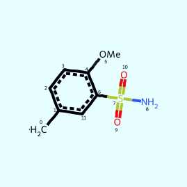 [CH2]c1ccc(OC)c(S(N)(=O)=O)c1